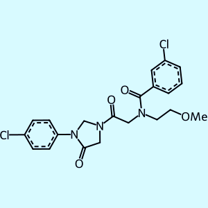 COCCN(CC(=O)N1CC(=O)N(c2ccc(Cl)cc2)C1)C(=O)c1cccc(Cl)c1